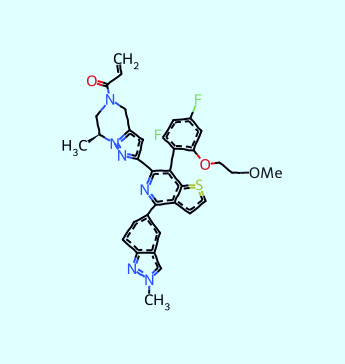 C=CC(=O)N1Cc2cc(-c3nc(-c4ccc5nn(C)cc5c4)c4ccsc4c3-c3c(F)cc(F)cc3OCCOC)nn2[C@@H](C)C1